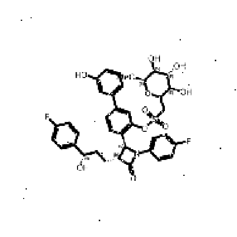 CO[C@@H]1OC(CS(=O)(=O)Oc2cc(-c3cccc(O)c3)ccc2[C@@H]2[C@@H](CC[C@H](O)c3ccc(F)cc3)C(=O)N2c2ccc(F)cc2)[C@H](O)[C@@H](O)[C@@H]1O